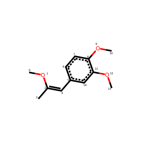 COC(C)=Cc1ccc(OC)c(OC)c1